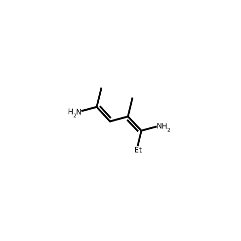 CC/C(N)=C(C)\C=C(/C)N